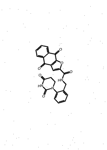 O=C1CCN(c2ccccc2CNC(=O)c2cc3c(o2)C(=O)c2ccccc2C3=O)C(=O)N1